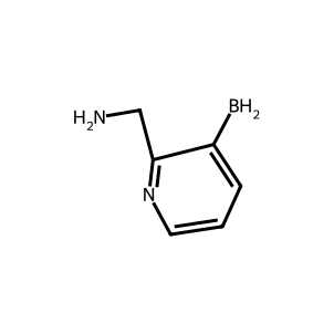 Bc1cccnc1CN